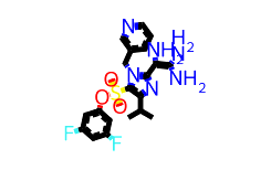 CC(C)c1nc(C(N)=C(N)N)n(Cc2cccnc2)c1S(=O)(=O)Oc1cc(F)cc(F)c1